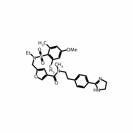 CCN(Cc1cc(C(=O)N(C)CCc2ccc(C3=NCCN3)cc2)co1)S(=O)(=O)c1c(C)cc(OC)cc1C